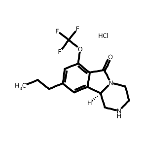 CCCc1cc(OC(F)(F)F)c2c(c1)[C@@H]1CNCCN1C2=O.Cl